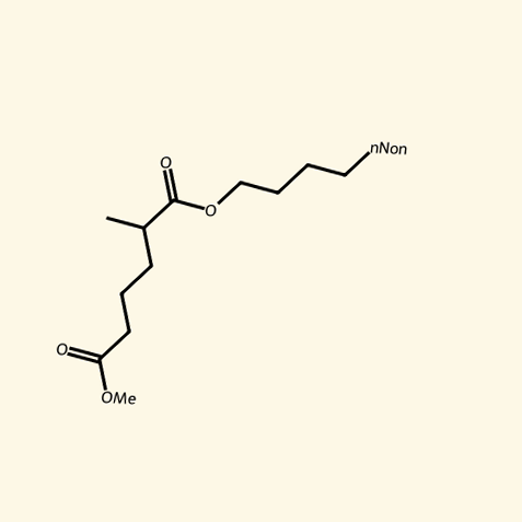 CCCCCCCCCCCCCOC(=O)C(C)CCCC(=O)OC